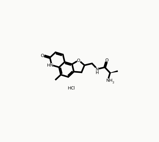 Cc1cc2c(c3ccc(=O)[nH]c13)OC(CNC(=O)[C@@H](C)N)C2.Cl